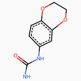 [NH]C(=O)Nc1ccc2c(c1)OCCO2